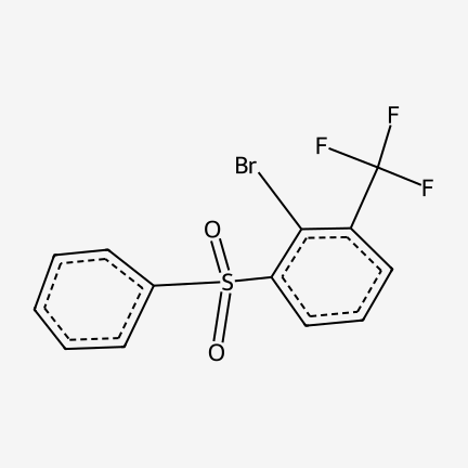 O=S(=O)(c1ccccc1)c1cccc(C(F)(F)F)c1Br